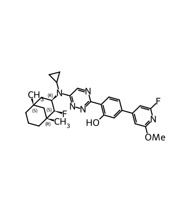 COc1cc(-c2ccc(-c3ncc(N(C4CC4)[C@@H]4C[C@@]5(C)CCC[C@](C)(C5)[C@@H]4F)nn3)c(O)c2)cc(F)n1